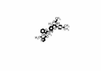 CCC(=O)N[C@@H](C(=O)N1CCN(C(C)C)CC1)[C@@H](C)c1ccc(NC(=O)[C@](C)(NC(=O)c2ccnn2CC)C2CCCCC2)c(F)c1